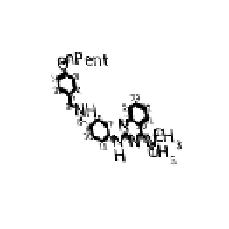 CCCCCOc1ccc(CNC[C@H]2CC[C@@H](Nc3nc(N(C)C)c4ccccc4n3)CC2)cc1